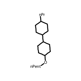 CCCCCOC1CCC(C2CCC(CCC)CC2)CC1